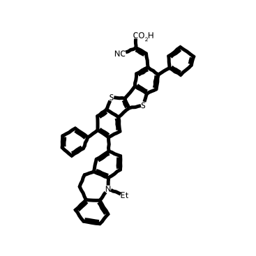 CCN1c2ccccc2CCc2cc(-c3cc4c(cc3-c3ccccc3)sc3c5cc(/C=C(\C#N)C(=O)O)c(-c6ccccc6)cc5sc43)ccc21